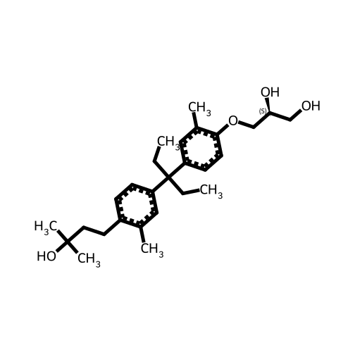 CCC(CC)(c1ccc(CCC(C)(C)O)c(C)c1)c1ccc(OC[C@@H](O)CO)c(C)c1